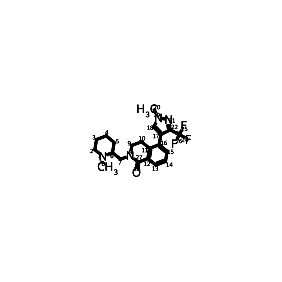 CN1CCCCC1CN1CCc2c(cccc2-c2cn(C)nc2C(F)(F)F)C1=O